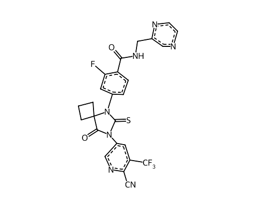 N#Cc1ncc(N2C(=O)C3(CCC3)N(c3ccc(C(=O)NCc4cnccn4)c(F)c3)C2=S)cc1C(F)(F)F